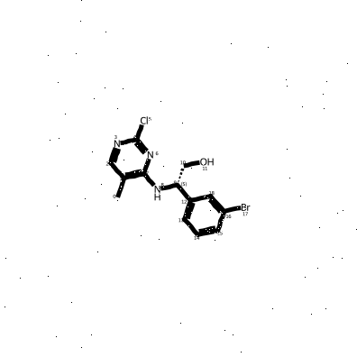 Cc1cnc(Cl)nc1N[C@H](CO)c1cccc(Br)c1